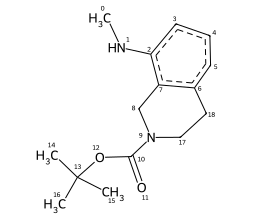 CNc1cccc2c1CN(C(=O)OC(C)(C)C)CC2